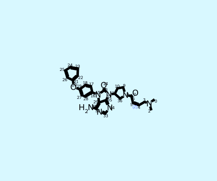 CN(C)C/C=C\C(=O)N1CCC(n2c(=O)n(-c3ccc(Oc4ccccc4)cc3)c3c(N)ncnc32)C1